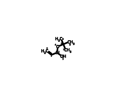 C=CB(O)OC(C)(C)C